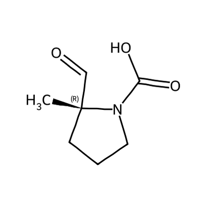 C[C@]1(C=O)CCCN1C(=O)O